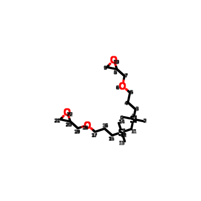 C[Si](C)(CCCOCC1CO1)C[Si](C)(C)CCCOCC1CO1